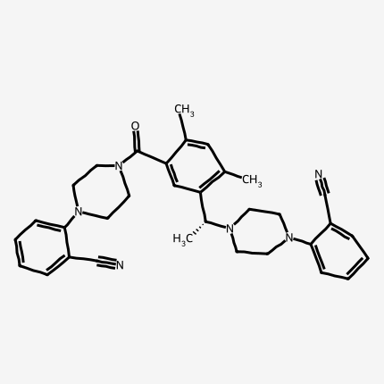 Cc1cc(C)c([C@@H](C)N2CCN(c3ccccc3C#N)CC2)cc1C(=O)N1CCN(c2ccccc2C#N)CC1